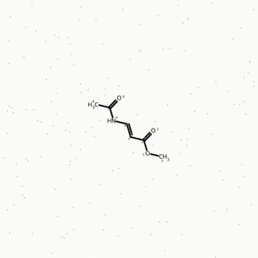 COC(=O)C=CNC(C)=O